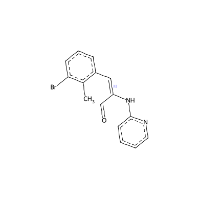 Cc1c(Br)cccc1/C=C(\C=O)Nc1ccccn1